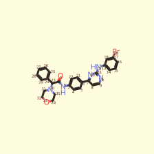 O=C(Nc1ccc(-c2ccnc(Nc3cccc(Br)c3)n2)cc1)C(c1ccccc1)N1CCOCC1